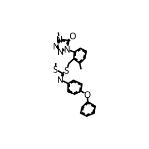 CSC(=Nc1ccc(Oc2ccccc2)cc1)SCc1c(C)cccc1-n1nnn(C)c1=O